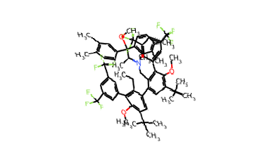 CCc1c(-c2cc(C(C)(C)C)c(OC)c(-c3cc(C(F)(F)F)cc(C(F)(F)F)c3)c2CN(C)[C@@H](C)C(OC)(c2ccc(C)c(C)c2)c2ccc(C)c(C)c2)cc(C(C)(C)C)c(OC)c1-c1cc(C(F)(F)F)cc(C(F)(F)F)c1